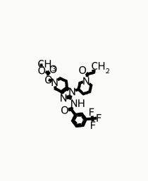 C=CC(=O)N1CCCC(n2c(NC(=O)c3cccc(C(F)(F)F)c3)nc3c2CCN(OC(=O)OC)C3)C1